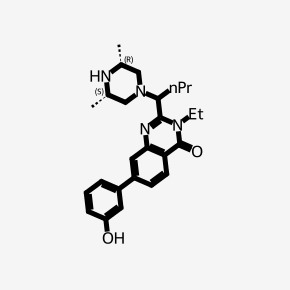 CCCC(c1nc2cc(-c3cccc(O)c3)ccc2c(=O)n1CC)N1C[C@@H](C)N[C@@H](C)C1